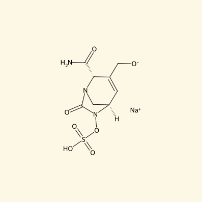 NC(=O)[C@@H]1C(C[O-])=C[C@@H]2CN1C(=O)N2OS(=O)(=O)O.[Na+]